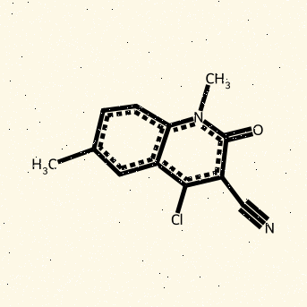 Cc1ccc2c(c1)c(Cl)c(C#N)c(=O)n2C